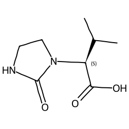 CC(C)[C@@H](C(=O)O)N1CCNC1=O